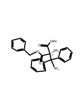 COC(=O)[C@](N)(C(=O)OCc1ccccc1)C(N)(c1ccccc1)c1ccccc1